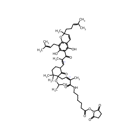 CC(C)=CCCC1(C)C=Cc2c(O)c(C(=O)/C(C)=C/C3CCC(C)(C)C(C/C=C(/C)C(=O)NCCCCCC(=O)ON4C(=O)CCC4=O)(OC(C)C)C3=O)c(O)c(CC=C(C)C)c2O1